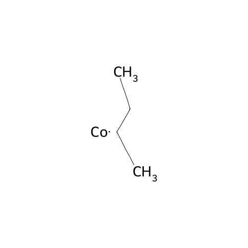 CCCC.[Co]